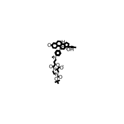 CC#C[C@]1(O)CC[C@H]2[C@@H]3CCC4=CC(=O)CCC4=C3[C@@H](c3ccc(N(C)CCCC(=O)N4CCN(C(=O)OC(C)(C)C)CC4C(=O)OC)cc3)C[C@@]21C